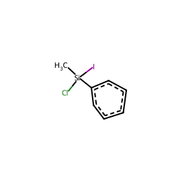 C[Si](Cl)(I)c1ccccc1